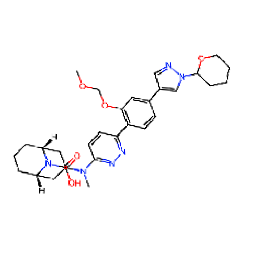 COCOc1cc(-c2cnn(C3CCCCO3)c2)ccc1-c1ccc(N(C)[C@@H]2C[C@H]3CCC[C@@H](C2)N3C(=O)O)nn1